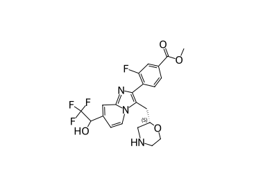 COC(=O)c1ccc(-c2nc3cc(C(O)C(F)(F)F)ccn3c2C[C@H]2CNCCO2)c(F)c1